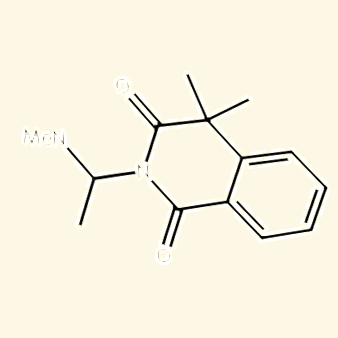 CNC(C)N1C(=O)c2ccccc2C(C)(C)C1=O